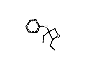 CCC1OCC1(CC)Oc1ccccc1